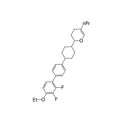 CCCC1=COC(C2CCC(c3ccc(-c4ccc(OCC)c(F)c4F)cc3)CC2)CC1